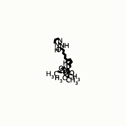 CCCS(=O)(=O)N[C@@H](Cc1ccc(CCCCC(=O)NC2=NCCCN2)s1)C(=O)OC(C)(C)C